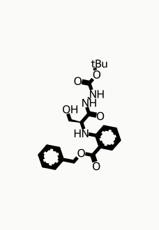 CC(C)(C)OC(=O)NNC(=O)[C@H](CO)Nc1ccccc1C(=O)OCc1ccccc1